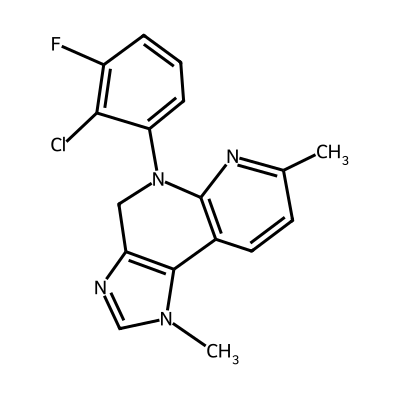 Cc1ccc2c(n1)N(c1cccc(F)c1Cl)Cc1ncn(C)c1-2